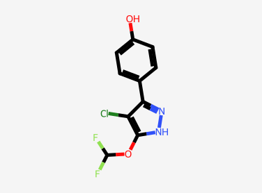 Oc1ccc(-c2n[nH]c(OC(F)F)c2Cl)cc1